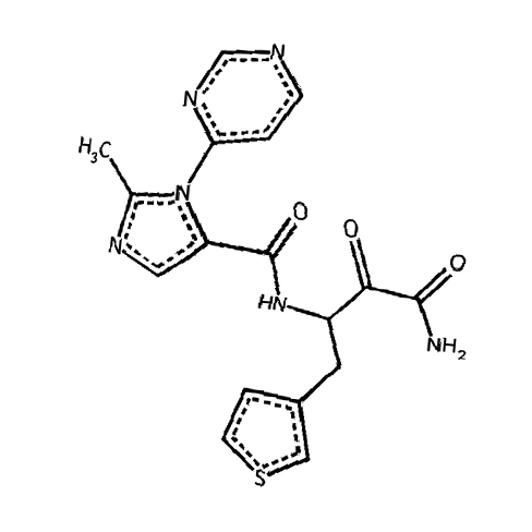 Cc1ncc(C(=O)NC(Cc2ccsc2)C(=O)C(N)=O)n1-c1ccncn1